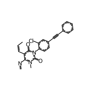 C=Nc1c(/C=C\C)c(=O)n(-c2ccc(C#Cc3ccccc3)cc2Cl)c(=O)n1C